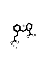 COC(=O)CCc1ccccc1CC1C(C(=O)O)C2CC[C@@H]1O2